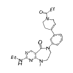 CCNc1ncc2c(n1)N(C)CCN(c1cccc(C3=CCN(C(=O)CC)CC3)c1)C2=O